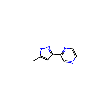 CC1=CC(c2cnccn2)=N[N]1